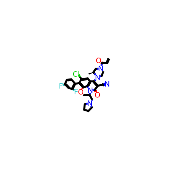 C=CC(=O)N1CCN(c2c(C#N)c(=O)n3c4c(c(-c5ccc(F)cc5F)c(Cl)cc24)OCC3CN2CCCC2)[C@@H](C)C1